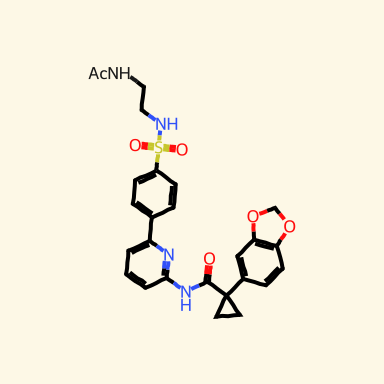 CC(=O)NCCNS(=O)(=O)c1ccc(-c2cccc(NC(=O)C3(c4ccc5c(c4)OCO5)CC3)n2)cc1